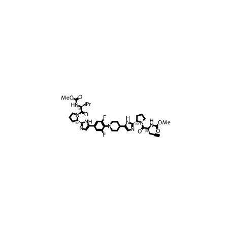 C#CC[C@H](NC(=O)OC)C(=O)N1CCC[C@H]1c1ncc(C2CCN(c3c(F)cc(-c4cnc([C@@H]5CCCN5C(=O)[C@@H](NC(=O)OC)C(C)C)[nH]4)cc3F)CC2)[nH]1